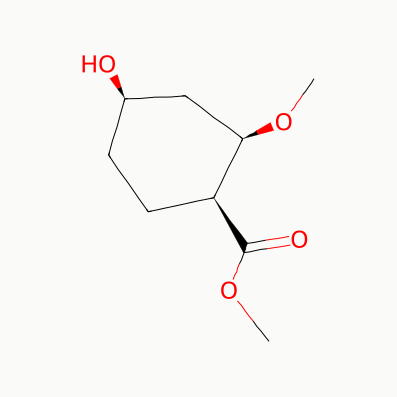 COC(=O)[C@H]1CC[C@@H](O)C[C@H]1OC